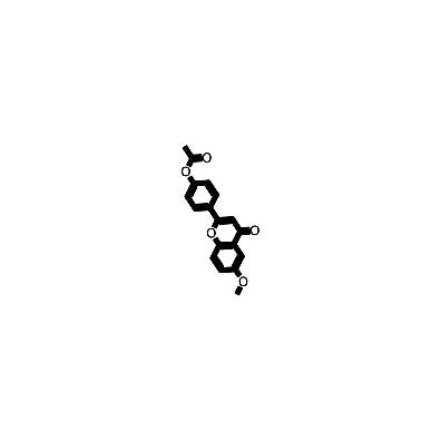 COc1ccc2oc(-c3ccc(OC(C)=O)cc3)cc(=O)c2c1